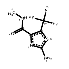 CNC(=O)c1nc(N)sc1C(F)(F)F